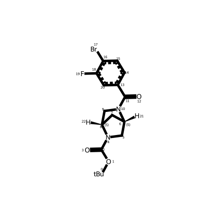 CC(C)(C)OC(=O)N1C[C@@H]2C[C@H]1CN2C(=O)c1ccc(Br)c(F)c1